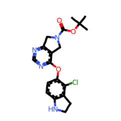 CC(C)(C)OC(=O)N1Cc2ncnc(Oc3ccc4c(c3Cl)CCN4)c2C1